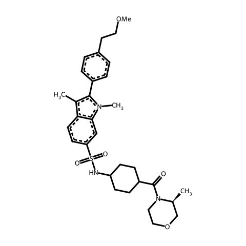 COCCc1ccc(-c2c(C)c3ccc(S(=O)(=O)NC4CCC(C(=O)N5CCOC[C@@H]5C)CC4)cc3n2C)cc1